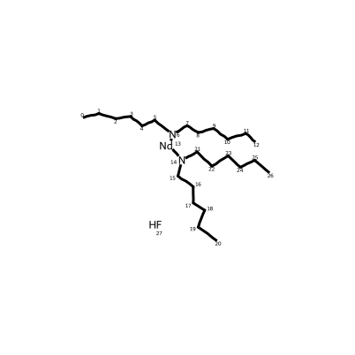 CCCCCC[N](CCCCCC)[Nd][N](CCCCCC)CCCCCC.F